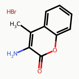 Br.Cc1c(N)c(=O)oc2ccccc12